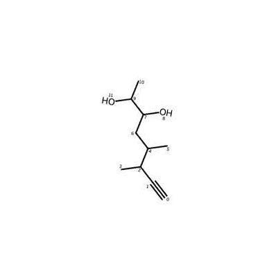 C#CC(C)C(C)CC(O)C(C)O